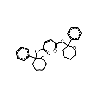 O=C(/C=C\C(=O)OC1(c2ccccc2)CCCCO1)OC1(c2ccccc2)CCCCO1